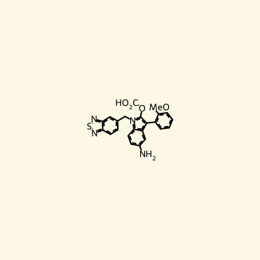 COc1ccccc1-c1c(OC(=O)O)n(Cc2ccc3nsnc3c2)c2ccc(N)cc12